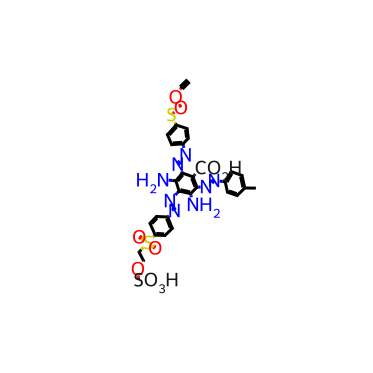 C#COOSc1ccc(N=Nc2c(N)c(N=Nc3ccc(S(=O)(=O)CCOS(=O)(=O)O)cc3)c(N)c(N=Nc3ccc(C)cc3)c2C(=O)O)cc1